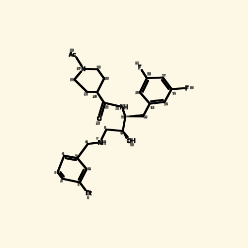 CCc1cccc(CNC[C@H](O)[C@H](Cc2cc(F)cc(F)c2)NC(=O)C2CCN(C(C)=O)CC2)c1